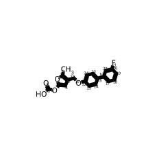 Cc1oc(OC(=O)O)cc1COc1ccc(-c2cccc(F)c2)cc1